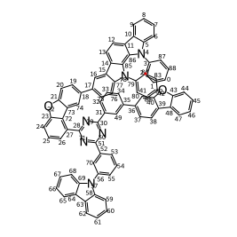 c1ccc(-n2c3ccccc3c3ccc4c5cc(-c6ccc7oc8cccc(-c9nc(-c%10cccc(-c%11ccc%12c(c%11)oc%11ccccc%11%12)c%10)nc(-c%10cccc(-n%11c%12ccccc%12c%12ccccc%12%11)c%10)n9)c8c7c6)ccc5n(-c5ccccc5)c4c32)cc1